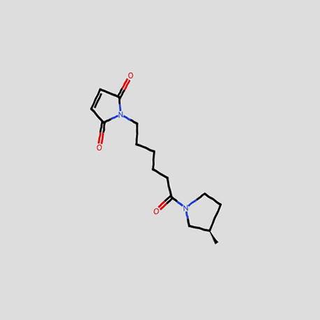 C[C@@H]1CCN(C(=O)CCCCCN2C(=O)C=CC2=O)C1